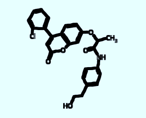 CC(Oc1ccc2c(-c3ccccc3Cl)cc(=O)oc2c1)C(=O)Nc1ccc(CCO)cc1